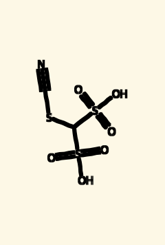 N#CSC(S(=O)(=O)O)S(=O)(=O)O